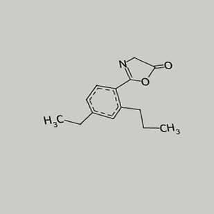 CCCc1cc(CC)ccc1C1=NCC(=O)O1